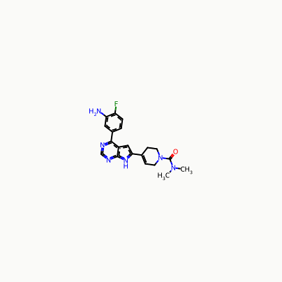 CN(C)C(=O)N1CC=C(c2cc3c(-c4ccc(F)c(N)c4)ncnc3[nH]2)CC1